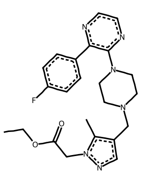 CCOC(=O)Cn1ncc(CN2CCN(c3nccnc3-c3ccc(F)cc3)CC2)c1C